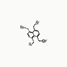 BrCc1ccc(CBr)c2c(CBr)ccc(CBr)c12